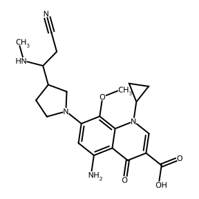 CNC(CC#N)C1CCN(c2cc(N)c3c(=O)c(C(=O)O)cn(C4CC4)c3c2OC)C1